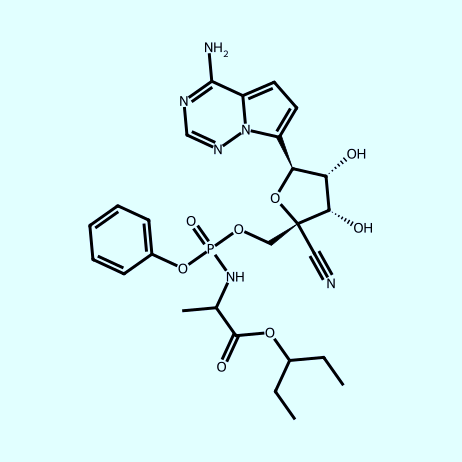 CCC(CC)OC(=O)C(C)NP(=O)(OC[C@@]1(C#N)O[C@@H](c2ccc3c(N)ncnn23)[C@H](O)[C@@H]1O)Oc1ccccc1